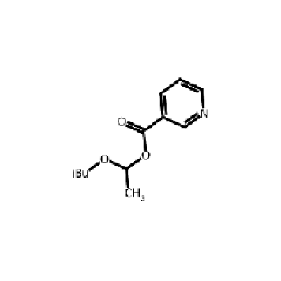 CCC(C)OC(C)OC(=O)c1cccnc1